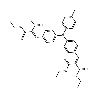 CCOC(=O)C(=Cc1ccc(N(c2ccc(C)cc2)c2ccc(/C=C(\C(C)=O)C(=O)OCC)cc2)cc1)C(=O)OCC